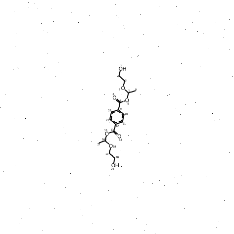 CC(OCCO)OC(=O)c1ccc(C(=O)OC(C)OCCO)cc1